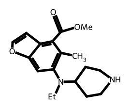 CCN(c1cc2occc2c(C(=O)OC)c1C)C1CCNCC1